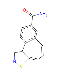 NC(=O)c1ccc2c(c1)C=CC=C1SN=CC12